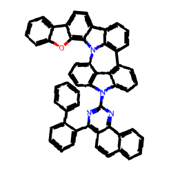 c1ccc(-c2ccccc2-c2nc(-n3c4cccc5c6cccc7c8ccc9c%10ccccc%10oc9c8n(c8cccc3c8c54)c67)nc3c2ccc2ccccc23)cc1